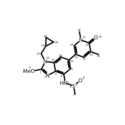 COc1nc2c(N[S+](C)[O-])cc(-c3cc(C)c(=O)n(C)c3)cc2n1CC1CC1